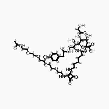 CC(=O)NCCOCCOCCOCCOCCNc1c(NCCCCCCO[C@]2(C(=O)O)C[C@H](O)[C@@H](NC(=O)CO)[C@H]([C@H](O)[C@H](O)CNC(=O)Cc3ccc(Cl)cc3)O2)c(=O)c1=O